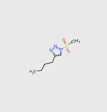 CCCCc1cn(S(C)(=O)=O)nn1